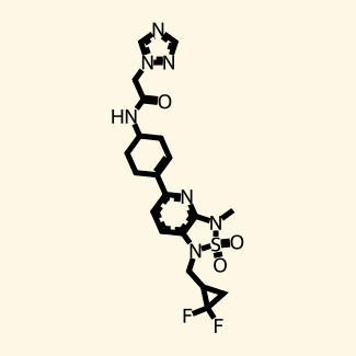 CN1c2nc(C3=CCC(NC(=O)Cn4cncn4)CC3)ccc2N(CC2CC2(F)F)S1(=O)=O